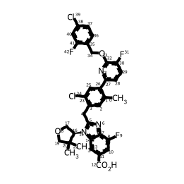 Cc1cc(Cc2nc3c(F)cc(C(=O)O)cc3n2[C@@H]2COCC2(C)C)c(Cl)cc1-c1ccc(F)c(OCc2ccc(Cl)cc2F)n1